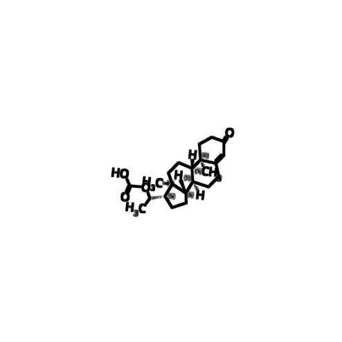 CC(OC(=O)O)[C@H]1CC[C@H]2[C@@H]3CCC4=CC(=O)CC[C@]4(C)[C@H]3CC[C@]12C